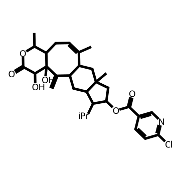 C=C1C2CC3C(C(C)C)C(OC(=O)c4ccc(Cl)nc4)CC3(C)CC2/C(C)=C\CC2C(C)OC(=O)C(O)C12O